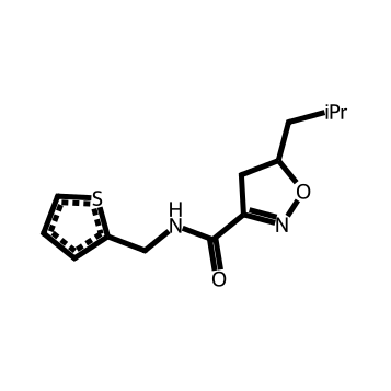 CC(C)CC1CC(C(=O)NCc2cccs2)=NO1